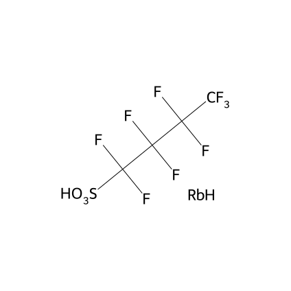 O=S(=O)(O)C(F)(F)C(F)(F)C(F)(F)C(F)(F)F.[RbH]